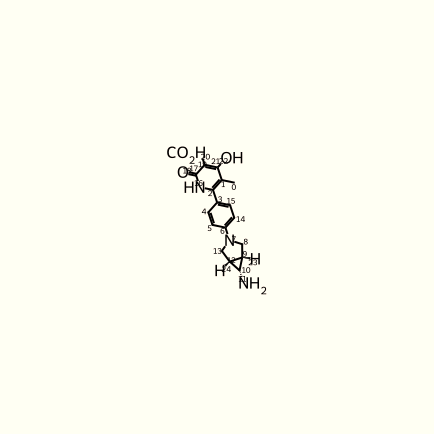 Cc1c(-c2ccc(N3C[C@@H]4[C@H](N)[C@@H]4C3)cc2)[nH]c(=O)c(C(=O)O)c1O